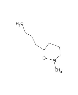 CCCCC1CC[CH2][Al]([CH3])[O]1